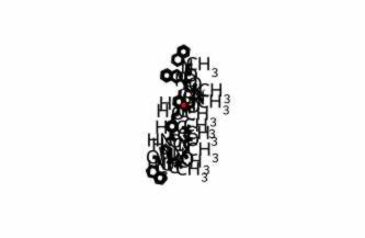 C[C@@H](C(=O)NC(C(=O)N1C[C@@H](NC(=O)c2ccc(COc3ccc(C[C@H](NC(=O)[C@H](C)N(C)C(=O)OC(C)(C)C)C(=O)N4Cc5ccccc5C[C@H]4C(=O)N(C)[C@@H]4CCCc5ccccc54)cc3)cc2)C[C@H]1C(=O)N[C@@H]1CCCc2ccccc21)C(C)(C)C)N(C)C(=O)OC(C)(C)C